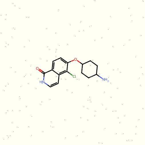 NC1CCC(Oc2ccc3c(=O)[nH]ccc3c2Cl)CC1